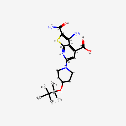 CC(C)(C)[Si](C)(C)OC1CCN(c2cc(C(=O)O)c3c(N)c(C(N)=O)sc3n2)CC1